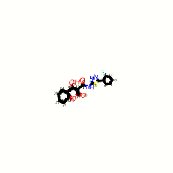 O=C(Nc1nnc(-c2ccccc2F)s1)c1c(O)c2ccccc2oc1=O